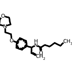 C=CC(NC(=O)CCCCC)c1ccc(OCCN2CCOCC2)cc1